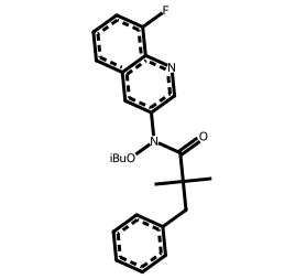 CC(C)CON(C(=O)C(C)(C)Cc1ccccc1)c1cnc2c(F)cccc2c1